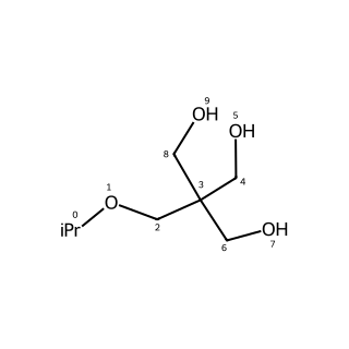 CC(C)OCC(CO)(CO)CO